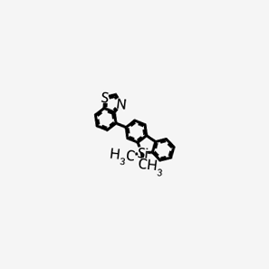 C[Si]1(C)c2ccccc2-c2ccc(-c3cccc4scnc34)cc21